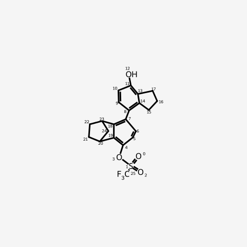 O=S(=O)(Oc1ccc(-c2ccc(O)c3c2CCC3)c2c1C1CCC2C1)C(F)(F)F